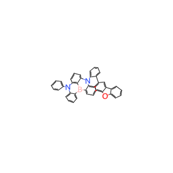 c1ccc(N2c3ccccc3B3c4ccccc4N(c4ccccc4-c4ccc5oc6ccccc6c5c4)c4cccc2c43)cc1